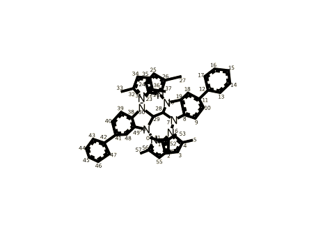 Cc1ccc(C)n1N1c2ccc(-c3ccccc3)cc2N(n2c(C)ccc2C)C1C1N(n2c(C)ccc2C)c2ccc(-c3ccccc3)cc2N1n1c(C)ccc1C